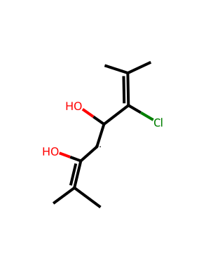 CC(C)=C(O)[CH]C(O)C(Cl)=C(C)C